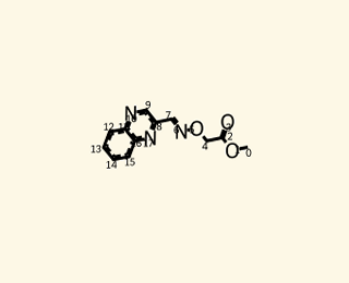 COC(=O)CON=Cc1cnc2ccccc2n1